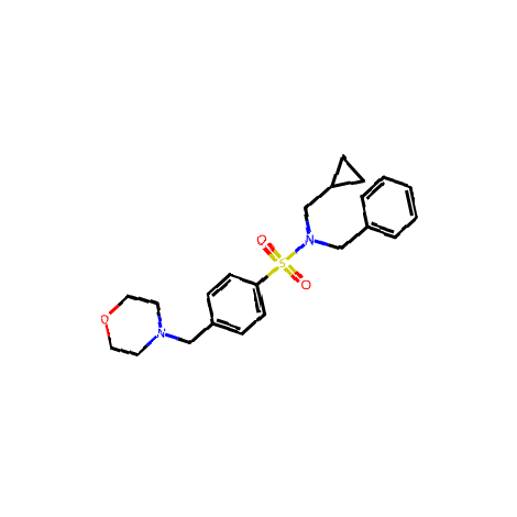 O=S(=O)(c1ccc(CN2CCOCC2)cc1)N(Cc1ccccc1)CC1CC1